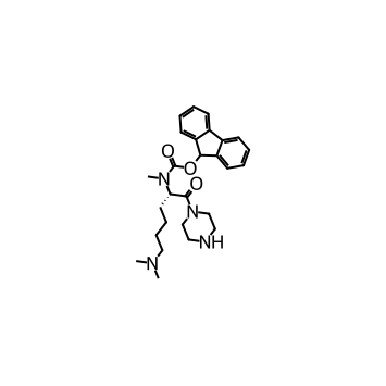 CN(C)CCCC[C@@H](C(=O)N1CCNCC1)N(C)C(=O)OC1c2ccccc2-c2ccccc21